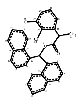 C[C@@H](C(=O)OC(c1cccc2ccccc12)c1cccc2ccccc12)c1cccc(Cl)c1Cl